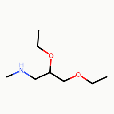 CCOCC(CNC)OCC